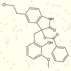 COc1cccc(CC2(OC(=O)c3ccccc3)C(=O)Nc3ccc(CCCl)cc32)c1O